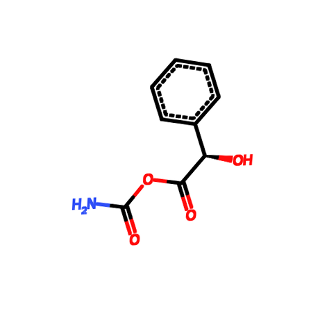 NC(=O)OC(=O)[C@H](O)c1ccccc1